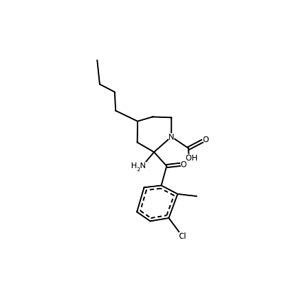 CCCCC1CCN(C(=O)O)C(N)(C(=O)c2cccc(Cl)c2C)C1